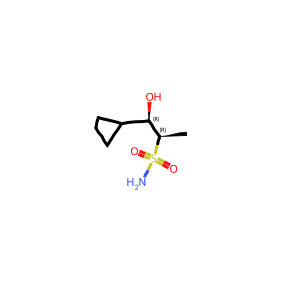 C[C@H]([C@H](O)C1CCC1)S(N)(=O)=O